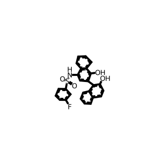 O=S(=O)(Nc1cc(-c2c(O)ccc3ccccc23)c(O)c2ccccc12)c1cccc(F)c1